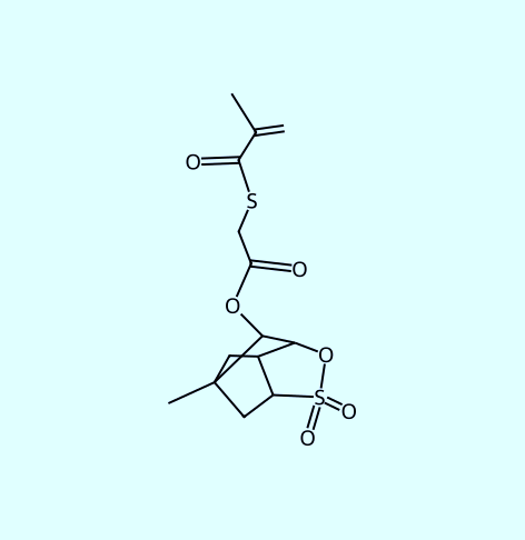 C=C(C)C(=O)SCC(=O)OC1C2OS(=O)(=O)C3CC1(C)CC23